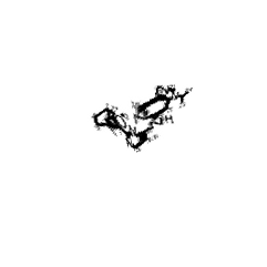 COC1C2CCC1C(c1nccc(Nc3cc4c(cn3)ncn4C(C)C)n1)C2